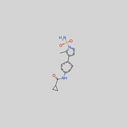 Cc1c(-c2ccc(NC(=O)C3CC3)cc2)ccn1S(N)(=O)=O